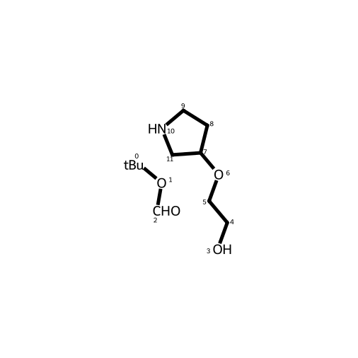 CC(C)(C)OC=O.OCCOC1CCNC1